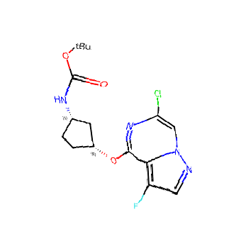 CC(C)(C)OC(=O)N[C@H]1CC[C@@H](Oc2nc(Cl)cn3ncc(F)c23)C1